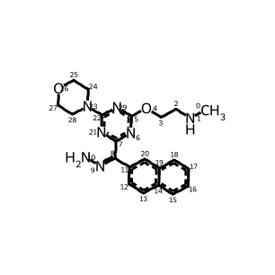 CNCCOc1nc(C(=NN)c2ccc3ccccc3c2)nc(N2CCOCC2)n1